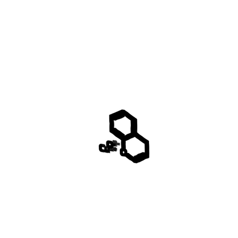 C1=COc2ccccc2C1.[Cu+2].[O-2]